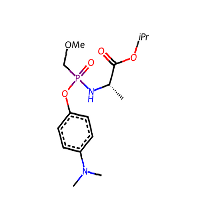 COCP(=O)(N[C@@H](C)C(=O)OC(C)C)Oc1ccc(N(C)C)cc1